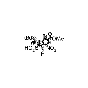 COC(=O)c1cc([N+](=O)[O-])c(C(S)[C@H](NC(=O)OC(C)(C)C)C(=O)O)cc1Br